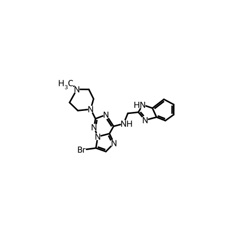 CN1CCN(c2nc(NCc3nc4ccccc4[nH]3)c3ncc(Br)n3n2)CC1